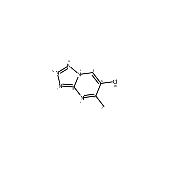 Cc1nc2nnnn2cc1Cl